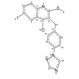 COc1nc2ccc(I)cc2c(Cl)c1Cc1ccc(-n2cncn2)cc1